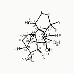 CC1(C)CC[C@H](O)[C@]23CO[C@@](O)([C@@H](O)C12)[C@]12C(=O)C4(CN4)[C@H](CCC31)[C@H]2O